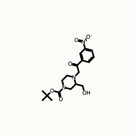 CC(C)(C)OC(=O)N1CCN(CC(=O)c2cccc([N+](=O)[O-])c2)C(CO)C1